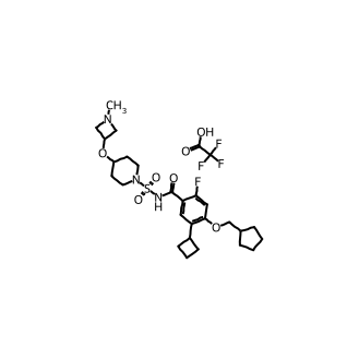 CN1CC(OC2CCN(S(=O)(=O)NC(=O)c3cc(C4CCC4)c(OCC4CCCC4)cc3F)CC2)C1.O=C(O)C(F)(F)F